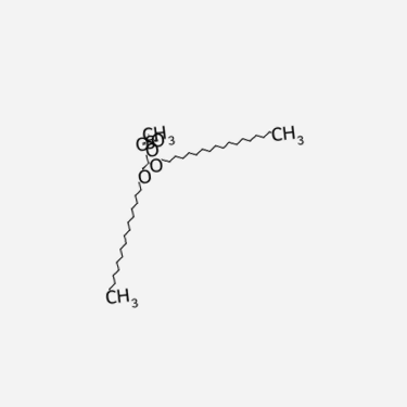 CCCCCCCCCCCCCCCCCCOC[C@@H](COS(C)(=O)=O)OCCCCCCCCCCCCCCCCCC